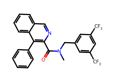 CN(Cc1cc(C(F)(F)F)cc(C(F)(F)F)c1)C(=O)c1ncc2ccccc2c1-c1ccccc1